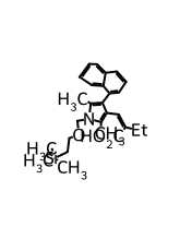 CCC(=Cc1c(-c2cccc3ccccc23)c(C)n(COCC[Si](C)(C)C)c1C)C(=O)O